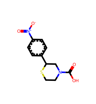 O=C(O)N1CCSC(c2ccc([N+](=O)[O-])cc2)C1